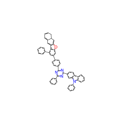 C1=CCC2C=c3oc4cc(-c5ccc(-c6nc(-c7ccccc7)nc(-c7ccc8c9ccccc9n(-c9ccccc9)c8c7)n6)cc5)cc(-c5ccccc5)c4c3=CC2=C1